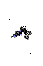 C/C=C(\C=C/C(=N)/N=N/C)N1CCOc2cc(C(=O)N3CCCC3)[nH]c21